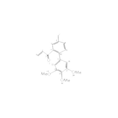 C=CC(=O)c1cc(C)ccc1-c1cc(OC)c(OC)c(OC)c1